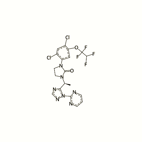 C[C@@H](c1ncnn1-c1ncccn1)N1CCN(c2cc(OC(F)(F)C(F)F)c(Cl)cc2Cl)C1=O